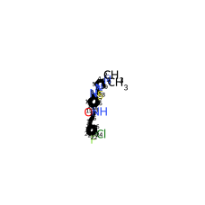 CN(C)C1CCN(c2nc3ccc(NC(=O)C=Cc4ccc(F)c(Cl)c4)cc3s2)C1